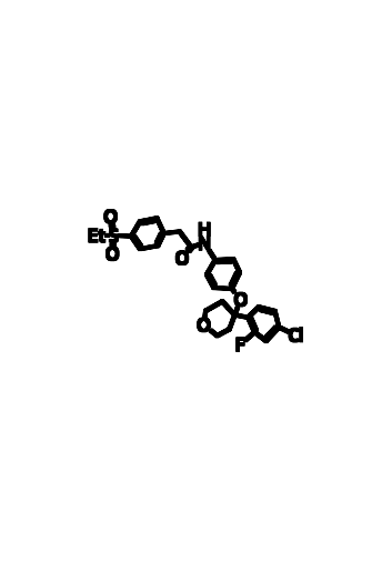 CCS(=O)(=O)c1ccc(CC(=O)Nc2ccc(OC3(c4ccc(Cl)cc4F)CCOCC3)cc2)cc1